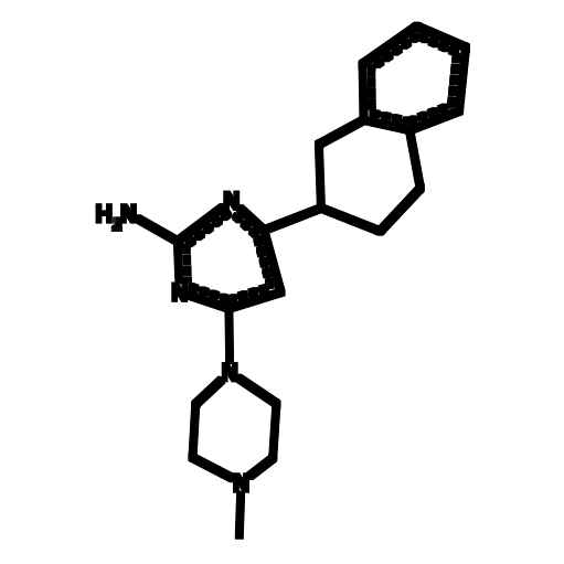 CN1CCN(c2cc(C3CCc4ccccc4C3)nc(N)n2)CC1